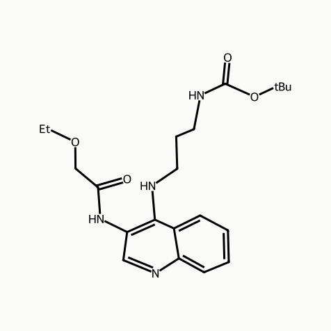 CCOCC(=O)Nc1cnc2ccccc2c1NCCCNC(=O)OC(C)(C)C